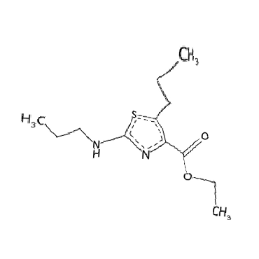 CCCNc1nc(C(=O)OCC)c(CCC)s1